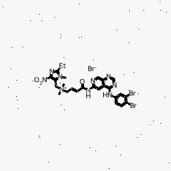 CCc1nc([N+](=O)[O-])c(C[N+](C)(C)C/C=C/C(=O)Nc2cc3c(Nc4ccc(Br)c(Br)c4)ncnc3cn2)n1C.[Br-]